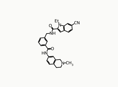 CCn1c(C(=O)NCc2cccc(C(=O)Nc3ccc4c(c3)CN(C)CC4)c2)cc2ccc(C#N)cc21